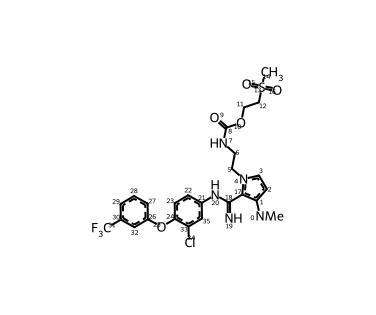 CNc1ccn(CCNC(=O)OCCS(C)(=O)=O)c1C(=N)Nc1ccc(Oc2cccc(C(F)(F)F)c2)c(Cl)c1